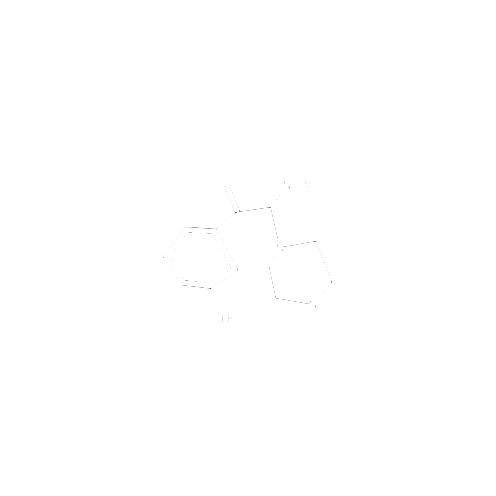 CC(=O)NC(C(=O)c1ccccc1)N1CCNCC1.Cl